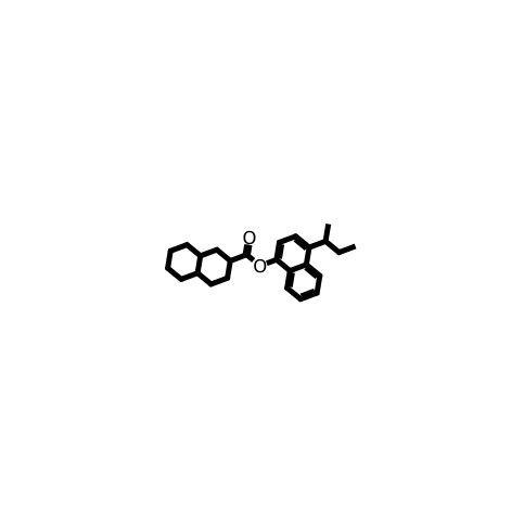 CCC(C)c1ccc(OC(=O)C2CCC3CCCCC3C2)c2ccccc12